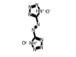 [O-][NH+]1N=NN=C1N=NC1=NN=N[NH+]1[O-]